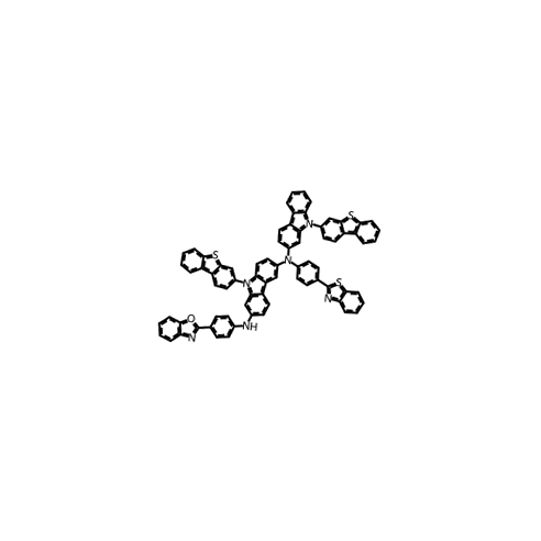 c1ccc2oc(-c3ccc(Nc4ccc5c6cc(N(c7ccc(-c8nc9ccccc9s8)cc7)c7ccc8c9ccccc9n(-c9ccc%10c(c9)sc9ccccc9%10)c8c7)ccc6n(-c6ccc7c(c6)sc6ccccc67)c5c4)cc3)nc2c1